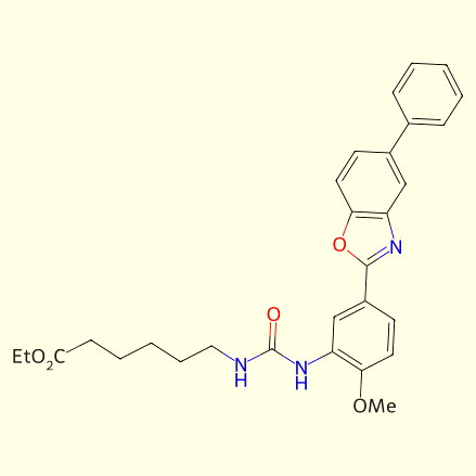 CCOC(=O)CCCCCNC(=O)Nc1cc(-c2nc3cc(-c4ccccc4)ccc3o2)ccc1OC